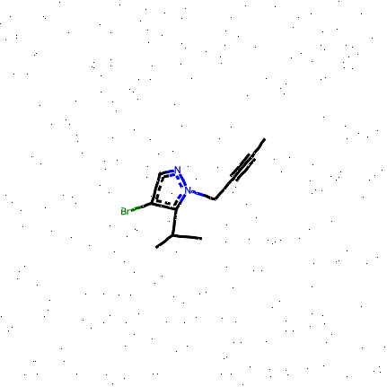 CC#CCn1n[c]c(Br)c1C(C)C